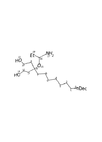 CCCCCCCCCCCCCCCCCC(CCO)(CCO)OC(N)CC